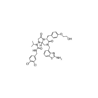 CC(C)N(C(=O)NCc1ccc(Cl)c(Cl)c1)N1CC(=O)N2[C@@H](Cc3ccc(OCCO)cc3)C(=O)N(Cc3cccc4sc(N)nc34)C[C@@H]21